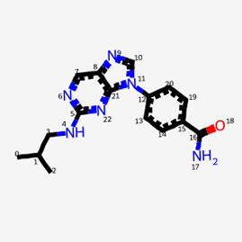 CC(C)CNc1ncc2ncn(-c3ccc(C(N)=O)cc3)c2n1